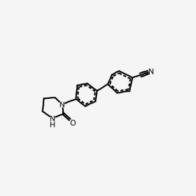 N#Cc1ccc(-c2ccc(N3CCCNC3=O)cc2)cc1